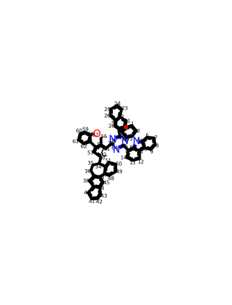 c1ccc(-n2c3ccccc3c3cccc(-c4nc(-c5ccc6ccccc6c5)nc(-c5cc(C6CCc7cc8ccccc8cc7-c7ccccc76)cc6c5COc5ccccc5-6)n4)c32)cc1